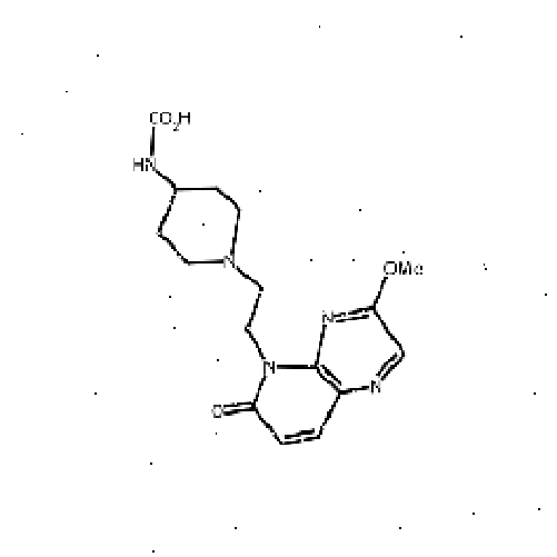 COc1cnc2ccc(=O)n(CCN3CCC(NC(=O)O)CC3)c2n1